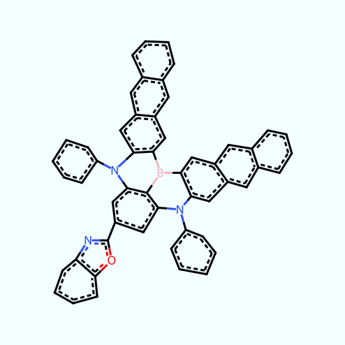 c1ccc(N2c3cc4cc5ccccc5cc4cc3B3c4cc5cc6ccccc6cc5cc4N(c4ccccc4)c4cc(-c5nc6ccccc6o5)cc2c43)cc1